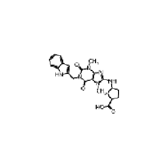 Cn1c(NC2CCC(C(=O)O)C2)nc2c1c(=O)n(Cc1cc3ccccc3[nH]1)c(=O)n2C